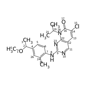 COC(C)c1ccc(Nc2ncc3cc(Cl)c(=O)n(C(C)C)c3n2)c(C)c1